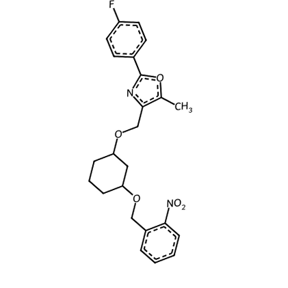 Cc1oc(-c2ccc(F)cc2)nc1COC1CCCC(OCc2ccccc2[N+](=O)[O-])C1